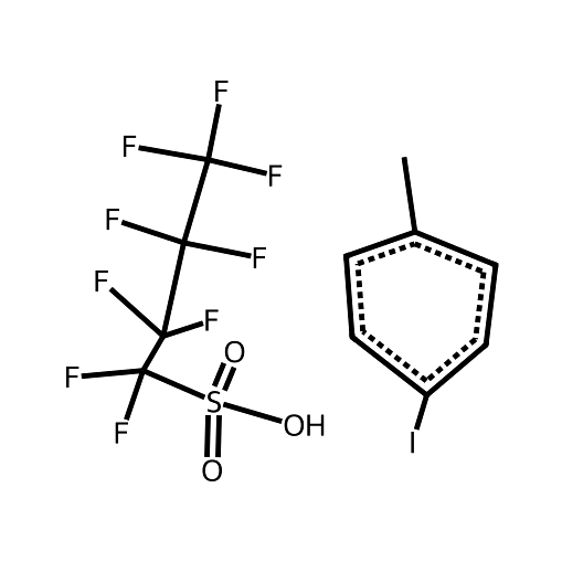 Cc1ccc(I)cc1.O=S(=O)(O)C(F)(F)C(F)(F)C(F)(F)C(F)(F)F